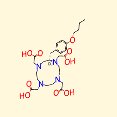 CCCCOc1ccc(C[C@H]2CN(CC(=O)O)CCN(CC(=O)O)CCN(CC(=O)O)CCN2CC(=O)O)cc1